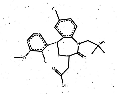 COc1cccc(C2SC(CC(=O)O)C(=O)N(CC(C)(C)C)c3ccc(Cl)cc32)c1Cl